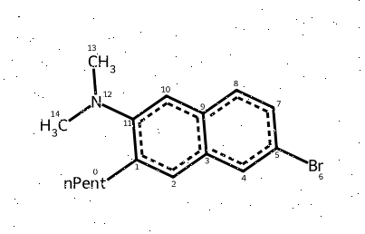 CCCCCc1cc2cc(Br)ccc2cc1N(C)C